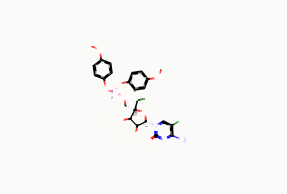 COc1ccc(OP(=S)(OC[C@@]2(C(F)F)O[C@@H](n3cc(F)c(N)nc3=O)C(O)C2O)Oc2ccc(OC)cc2)cc1